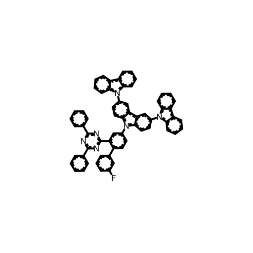 Fc1cccc(-c2ccc(-n3c4ccc(-n5c6ccccc6c6ccccc65)cc4c4cc(-n5c6ccccc6c6ccccc65)ccc43)cc2-c2nc(-c3ccccc3)nc(-c3ccccc3)n2)c1